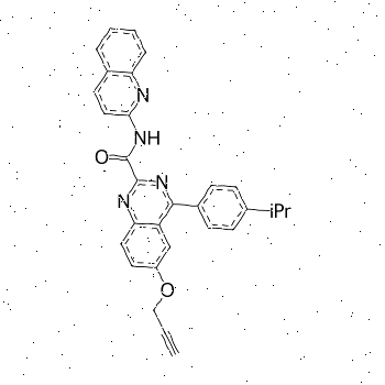 C#CCOc1ccc2nc(C(=O)Nc3ccc4ccccc4n3)nc(-c3ccc(C(C)C)cc3)c2c1